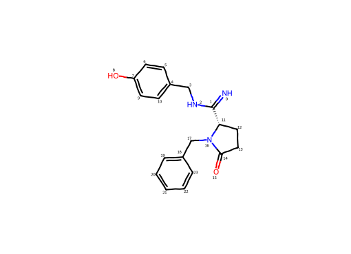 N=C(NCc1ccc(O)cc1)[C@@H]1CCC(=O)N1Cc1ccccc1